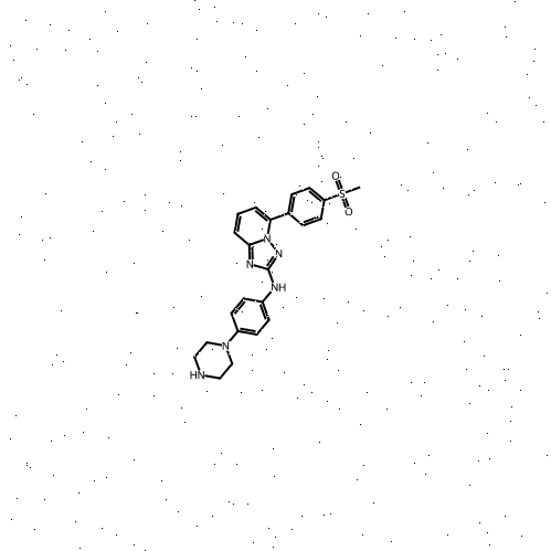 CS(=O)(=O)c1ccc(-c2cccc3nc(Nc4ccc(N5CCNCC5)cc4)nn23)cc1